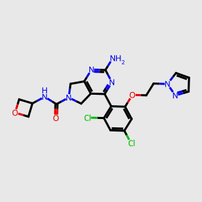 Nc1nc2c(c(-c3c(Cl)cc(Cl)cc3OCCn3cccn3)n1)CN(C(=O)NC1COC1)C2